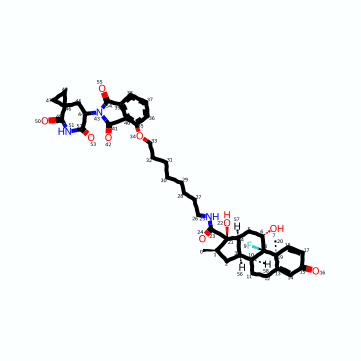 C[C@@H]1C[C@H]2[C@H](C[C@H](O)[C@@]3(F)[C@H]2CCC2=CC(=O)C=C[C@@]23C)[C@@]1(O)C(=O)NCCCCCCCCOc1cccc2c1C(=O)N(C1CC3(CC3)C(=O)NC1=O)C2=O